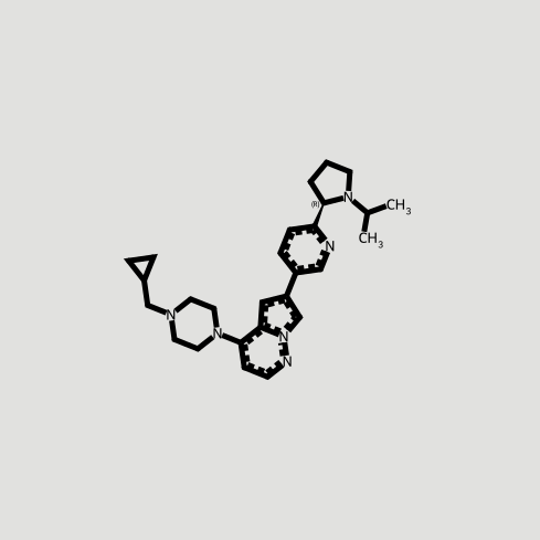 CC(C)N1CCC[C@@H]1c1ccc(-c2cc3c(N4CCN(CC5CC5)CC4)ccnn3c2)cn1